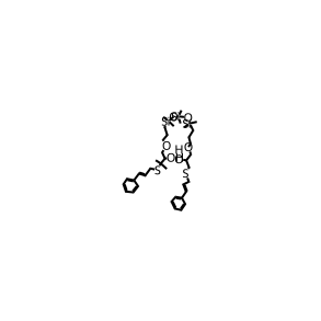 CC(C)(SC/C=C/c1ccccc1)C(O)COCCC[Si](C)(C)O[Si](C)(C)O[Si](C)(C)CCCOCC(O)CSC/C=C/c1ccccc1